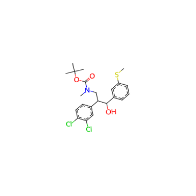 CSc1cccc(C(O)C(CN(C)C(=O)OC(C)(C)C)c2ccc(Cl)c(Cl)c2)c1